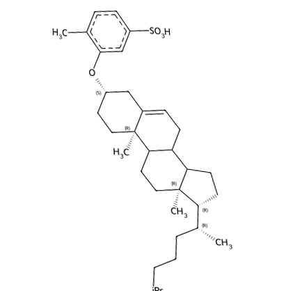 Cc1ccc(S(=O)(=O)O)cc1O[C@H]1CC[C@@]2(C)C(=CCC3C2CC[C@@]2(C)C3CC[C@@H]2[C@H](C)CCCC(C)C)C1